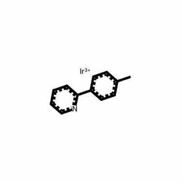 Cc1ccc(-c2ccccn2)cc1.[Ir+3]